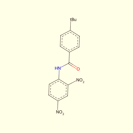 CC(C)(C)c1ccc(C(=O)Nc2ccc([N+](=O)[O-])cc2[N+](=O)[O-])cc1